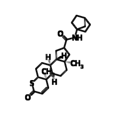 C[C@]12CC[C@@H]3[C@@H](CCC4SC(=O)C=C[C@@]43C)[C@@H]1CC(C(=O)NC13CCC(CC1)C3)C2